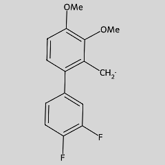 [CH2]c1c(-c2ccc(F)c(F)c2)ccc(OC)c1OC